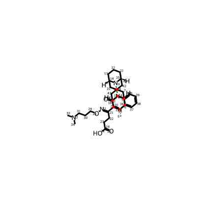 C[C@@H]1C[C@@H]2C[C@H](C1)C[C@@H](N1[C@@H]3CCC[C@H]1C[C@@H](n1c(=O)c(/C(CCC(=O)O)=N/OCCCN(C)C)nc4ccccc41)C3)C2